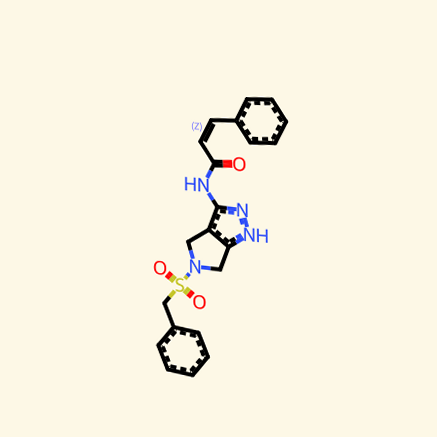 O=C(/C=C\c1ccccc1)Nc1n[nH]c2c1CN(S(=O)(=O)Cc1ccccc1)C2